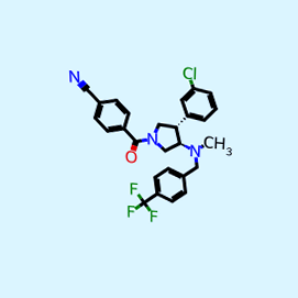 CN(Cc1ccc(C(F)(F)F)cc1)[C@H]1CN(C(=O)c2ccc(C#N)cc2)C[C@@H]1c1cccc(Cl)c1